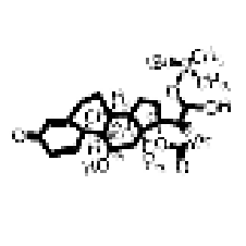 CCCC(=O)O[C@@]1(C(=O)C(O)O[Si](C)(C)C(C)(C)C)CC[C@H]2[C@@H]3CCC4=CC(=O)C=C[C@]4(C)[C@H]3[C@@H](O)C[C@@]21C